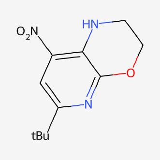 CC(C)(C)c1cc([N+](=O)[O-])c2c(n1)OCCN2